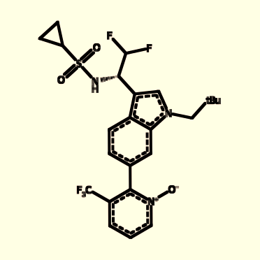 CC(C)(C)Cn1cc([C@H](NS(=O)(=O)C2CC2)C(F)F)c2ccc(-c3c(C(F)(F)F)ccc[n+]3[O-])cc21